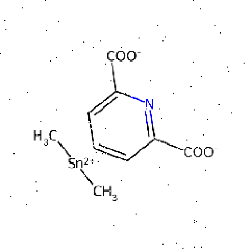 O=C([O-])c1cccc(C(=O)[O-])n1.[CH3][Sn+2][CH3]